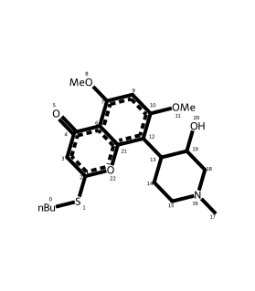 CCCCSc1cc(=O)c2c(OC)cc(OC)c(C3CCN(C)CC3O)c2o1